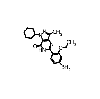 Bc1ccc(-c2nc3c(C)nn(C4CCCCC4)c3c(=O)[nH]2)c(OCC)c1